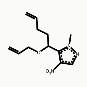 C=CCCC(OCC=C)c1c([N+](=O)[O-])cnn1C